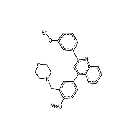 CCOc1cccc(-c2cc(-c3[c]c(CN4CCOCC4)c(OC)cc3)c3ccccc3n2)c1